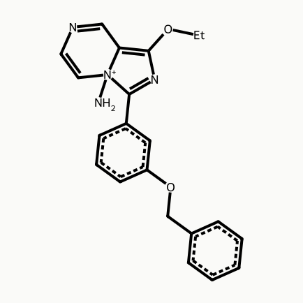 CCOC1=C2C=NC=C[N+]2(N)C(c2cccc(OCc3ccccc3)c2)=N1